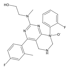 Cc1cc(F)ccc1-c1nc(N(C)CCO)nc2c1CNC[N+]2([O-])c1ccccc1F